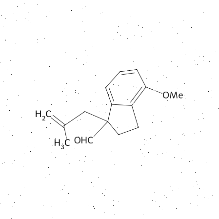 C=C(C)CC1(C=O)CCc2c(OC)cccc21